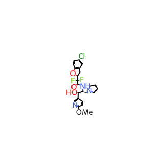 COc1ccc([C@@H](O)[C@@H](CN2CCCC2)NC(=O)C(F)(F)C2Cc3cc(Cl)ccc3O2)cn1